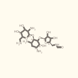 NCC1O[C@H](O[C@@H]2C(N)C[C@@H](N)[C@@H](O)C2O[C@@H]2O[C@H](CNC=O)C(O)C2O)C(N)C(O)[C@@H]1O